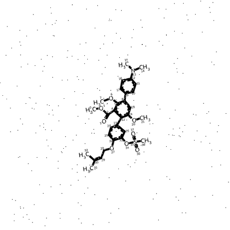 COC(=O)c1c(OC)c(-c2ccc(N(C)C)cc2)cc(OC)c1-c1ccc(OCC=C(C)C)c(OS(C)(=O)=O)c1